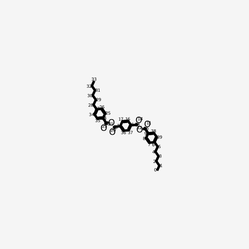 CCCCCCc1ccc(C(=O)OC(=O)c2ccc(C(=O)OC(=O)c3ccc(CCCCCC)cc3)cc2)cc1